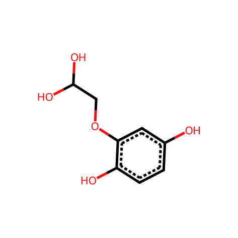 Oc1ccc(O)c(OCC(O)O)c1